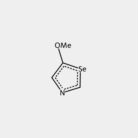 COc1cnc[se]1